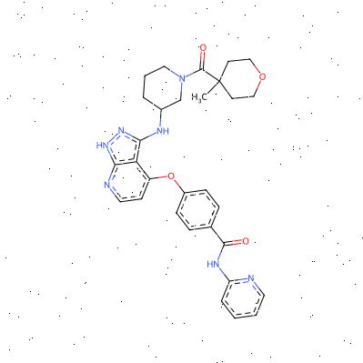 CC1(C(=O)N2CCCC(Nc3n[nH]c4nccc(Oc5ccc(C(=O)Nc6ccccn6)cc5)c34)C2)CCOCC1